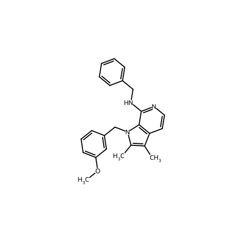 COc1cccc(Cn2c(C)c(C)c3ccnc(NCc4ccccc4)c32)c1